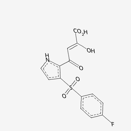 O=C(O)C(O)=CC(=O)c1[nH]ccc1S(=O)(=O)c1ccc(F)cc1